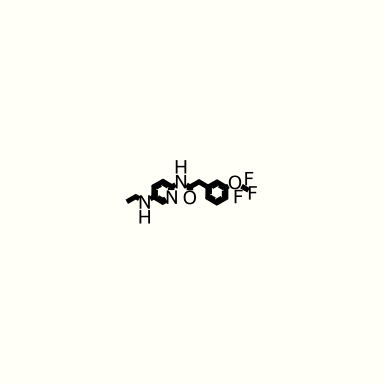 CCNc1ccc(NC(=O)Cc2cccc(OC(F)(F)F)c2)nc1